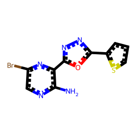 Nc1ncc(Br)nc1-c1nnc(-c2cccs2)o1